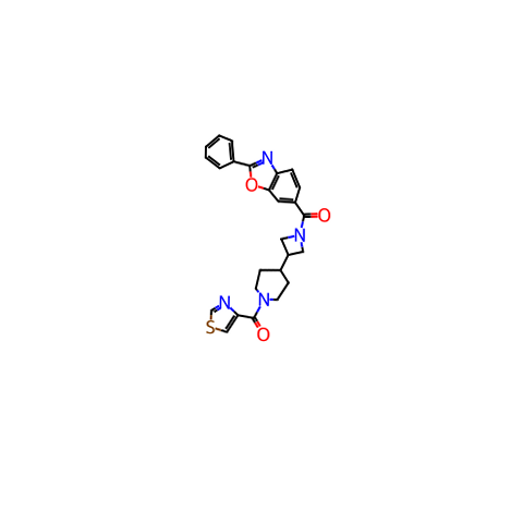 O=C(c1ccc2nc(-c3ccccc3)oc2c1)N1CC(C2CCN(C(=O)c3cscn3)CC2)C1